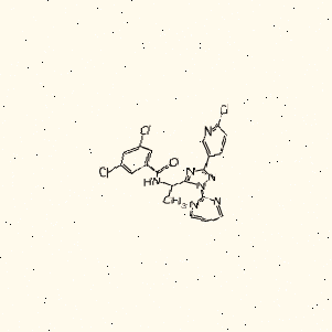 CC(NC(=O)c1cc(Cl)cc(Cl)c1)c1nc(-c2ccc(Cl)nc2)nn1-c1ncccn1